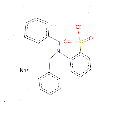 O=S(=O)([O-])c1ccccc1N(Cc1ccccc1)Cc1ccccc1.[Na+]